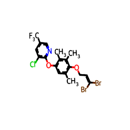 Cc1cc(Oc2ncc(C(F)(F)F)cc2Cl)c(C)c(C)c1OCC=C(Br)Br